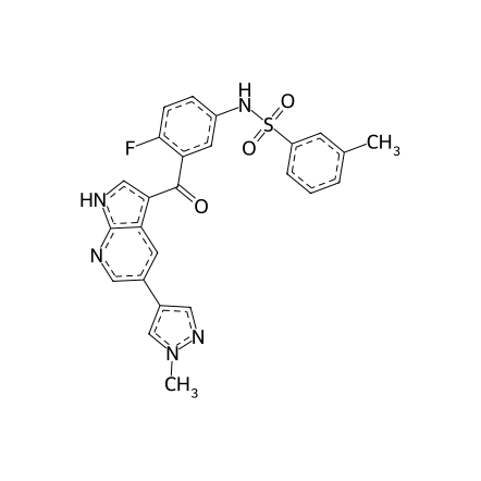 Cc1cccc(S(=O)(=O)Nc2ccc(F)c(C(=O)c3c[nH]c4ncc(-c5cnn(C)c5)cc34)c2)c1